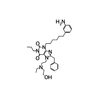 CCCn1c(=O)c2c(nc(Cc3ccccc3)n2CCN(CC)CCO)n(CCCCCCc2cccc(N)c2)c1=O